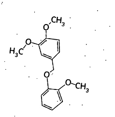 COc1ccc(COc2ccccc2OC)cc1OC